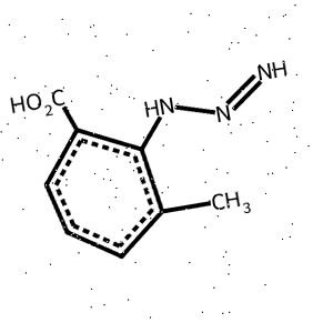 Cc1cccc(C(=O)O)c1NN=N